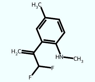 C=C(c1cc(C)ccc1NC)C(F)F